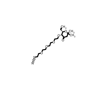 C=C[C@H]1OC(C)(C)CC(=O)[C@@H]1OCCOCCOCCOCCN=[N+]=[N-]